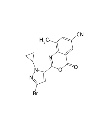 Cc1cc(C#N)cc2c(=O)oc(-c3cc(Br)nn3C3CC3)nc12